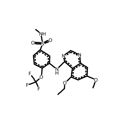 CCOc1cc(OC)cc2ncnc(Nc3cc(S(=O)(=O)NC)ccc3OC(F)(F)F)c12